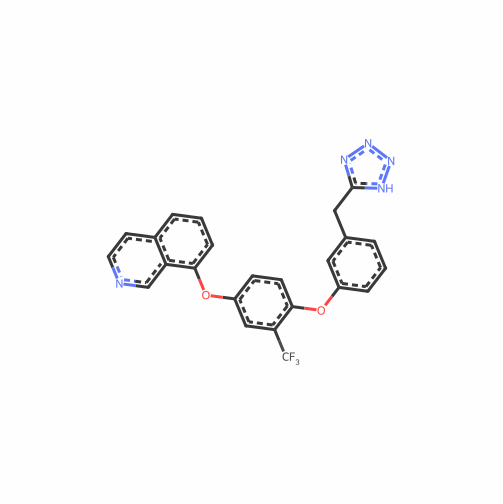 FC(F)(F)c1cc(Oc2cccc3ccncc23)ccc1Oc1cccc(Cc2nnn[nH]2)c1